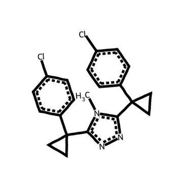 Cn1c(C2(c3ccc(Cl)cc3)CC2)nnc1C1(c2ccc(Cl)cc2)CC1